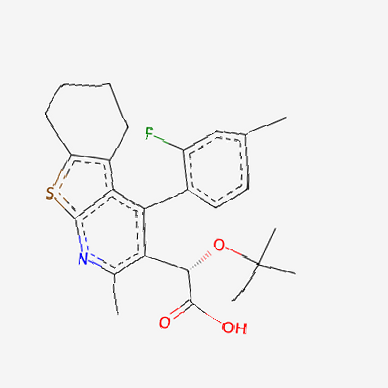 Cc1ccc(-c2c([C@H](OC(C)(C)C)C(=O)O)c(C)nc3sc4c(c23)CCCC4)c(F)c1